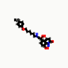 Cc1ccc(OCCCCCCNCC(O)c2ccc(O)c3[nH]c(=O)ccc23)cc1